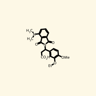 CCOc1cc(C(CC(=O)O)N2C(=O)c3cccc(N(C)C)c3C2=O)ccc1OC